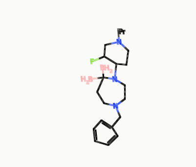 BC1(B)CCN(Cc2ccccc2)CCN1C1CCN(C(C)C)CC1F